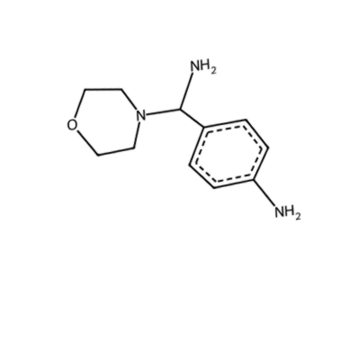 Nc1ccc(C(N)N2CCOCC2)cc1